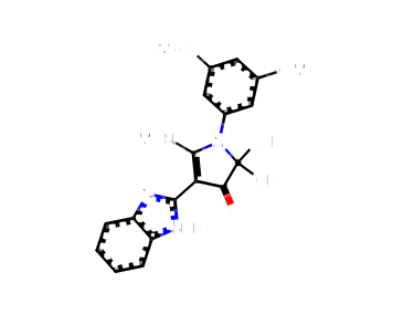 CNC1=C(c2nc3ccccc3[nH]2)C(=O)C(C)(C)N1c1cc(OC)cc(OC)c1